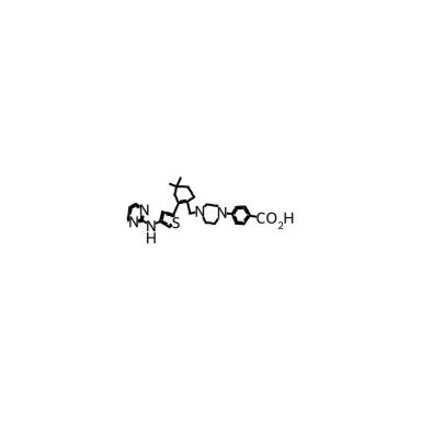 CC1(C)CCC(CN2CCN(c3ccc(C(=O)O)cc3)CC2)=C(c2cc(Nc3ncccn3)cs2)C1